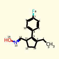 CCC1=C(c2ccc(F)cc2)C(C=NO)CC1